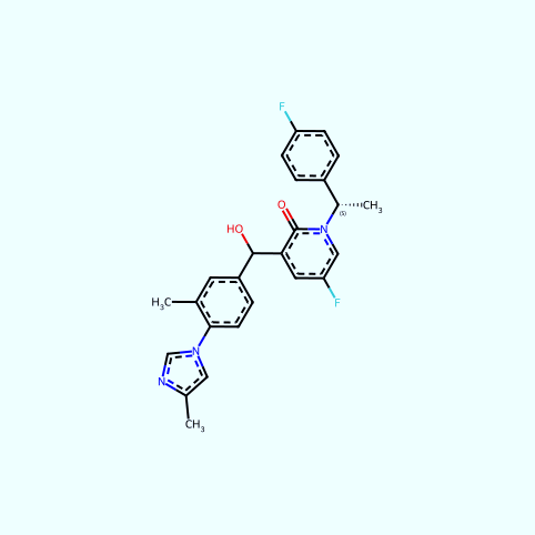 Cc1cn(-c2ccc(C(O)c3cc(F)cn([C@@H](C)c4ccc(F)cc4)c3=O)cc2C)cn1